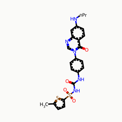 CCCNc1ccc2c(=O)n(-c3ccc(NC(=O)NS(=O)(=O)c4ccc(C)s4)cc3)cnc2c1